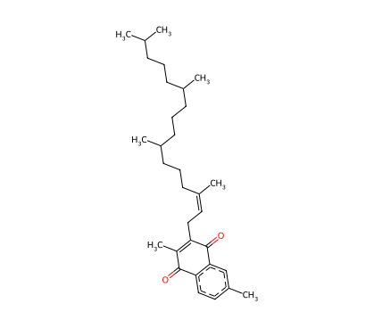 CC(=CCC1=C(C)C(=O)c2ccc(C)cc2C1=O)CCCC(C)CCCC(C)CCCC(C)C